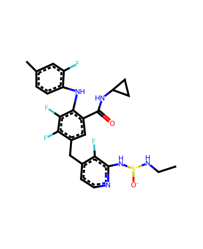 CCN[S+]([O-])Nc1nccc(Cc2cc(C(=O)NC3CC3)c(Nc3ccc(C)cc3F)c(F)c2F)c1F